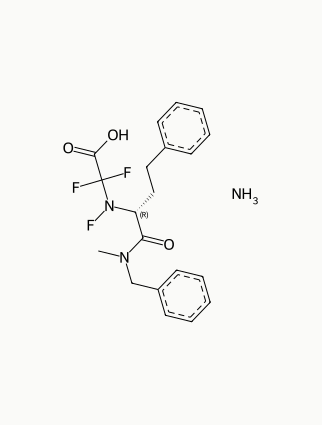 CN(Cc1ccccc1)C(=O)[C@@H](CCc1ccccc1)N(F)C(F)(F)C(=O)O.N